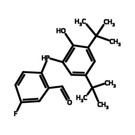 CC(C)(C)c1cc(Pc2ccc(F)cc2C=O)c(O)c(C(C)(C)C)c1